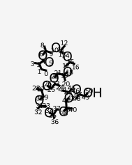 CCC(C)C(=O)OC(C)COC(C)COC(C)COC(C)COC(C)COC(C)COC(C)COC(C)COC(C)COC(C)COC(C)CO